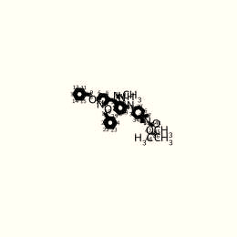 Cn1nc(-c2ccc(OCc3ccccc3)nc2OCc2ccccc2)c2cccc(NC3CCC4(CC3)CN(C(=O)OC(C)(C)C)C4)c21